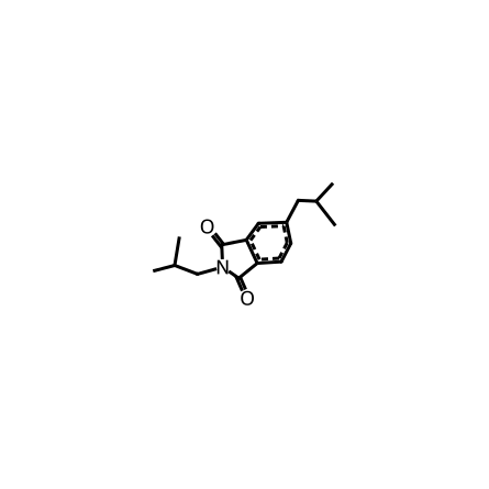 CC(C)Cc1ccc2c(c1)C(=O)N(CC(C)C)C2=O